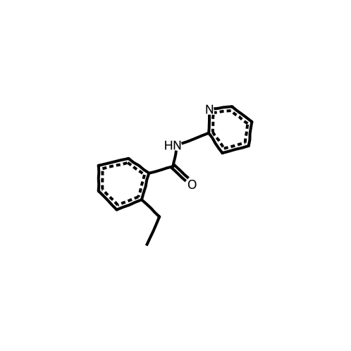 CCc1ccccc1C(=O)Nc1ccccn1